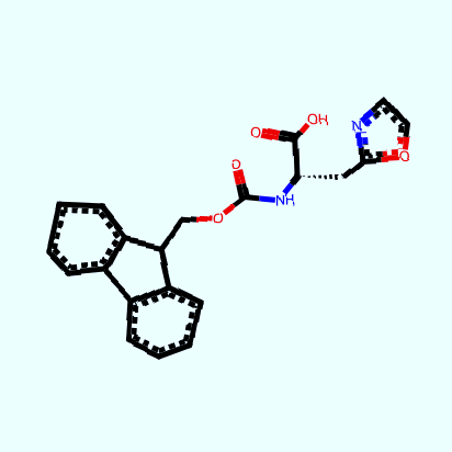 O=C(N[C@@H](Cc1ncco1)C(=O)O)OCC1c2ccccc2-c2ccccc21